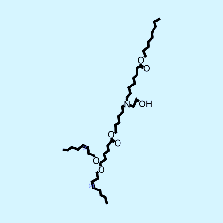 CCCC/C=C\CCOC(CCCCC(=O)OCCCCCCN(CCO)CCCCCCCC(=O)OCCCCCCCCC)OCC/C=C\CCCC